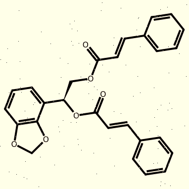 O=C(C=Cc1ccccc1)OC[C@@H](OC(=O)/C=C/c1ccccc1)c1cccc2c1OCO2